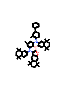 Cc1cc2c3c(c1)N(c1ccc4c(c1)C(C)(C)CCC4(C)C)c1c(oc4cc5c(cc14)C(C)(C)CCC5(C)C)B3c1cc3c(cc1N2c1ccc(-c2ccccc2)cc1C)C(C)(C)CCC3(C)C